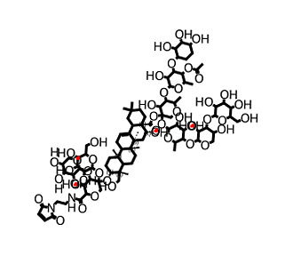 CC(=O)OC1C(C)OC(OC2C(C)OCC(OC(=O)[C@]34CCC(C)(C)CC3C3=CCC5[C@@]6(C)CC[C@H](OC7(OC8OC(CO)C(O)C(O)C8O)COC(C(=O)NCCN8C(=O)C=CC8=O)C(O)C7OC7OCC(O)C(O)C7O)[C@@](C)(CO)C6CC[C@@]5(C)[C@]3(C)C[C@H]4O)(OC3OC(C)C(OC4OCC(O)C(OC5OC(CO)C(O)C(O)C5O)C4O)C(O)C3O)C2O)C(O)C1OC1CCC(O)C(O)C1O